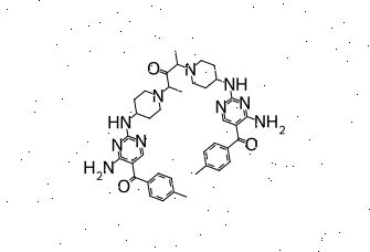 Cc1ccc(C(=O)c2cnc(NC3CCN(C(C)C(=O)C(C)N4CCC(Nc5ncc(C(=O)c6ccc(C)cc6)c(N)n5)CC4)CC3)nc2N)cc1